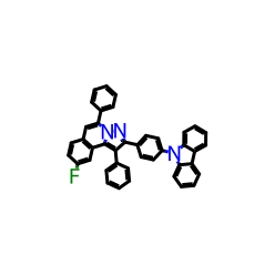 Fc1ccc2cc(-c3ccccc3)n3nc(-c4ccc(-n5c6ccccc6c6ccccc65)cc4)c(-c4ccccc4)c3c2c1